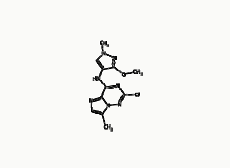 COc1nn(C)cc1Nc1nc(Cl)nn2c(C)cnc12